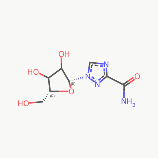 NC(=O)c1ncn([C@@H]2O[C@H](CO)C(O)C2O)n1